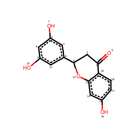 O=C1CC(c2cc(O)cc(O)c2)Oc2cc(O)ccc21